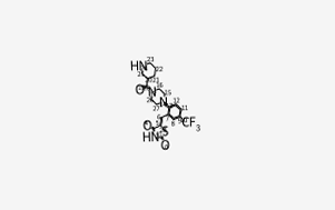 O=C1NC(=O)/C(=C/c2cc(C(F)(F)F)ccc2N2CCN(C(=O)C3CCCNC3)CC2)S1